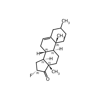 CC1CC[C@@]2(C)C(=CC[C@@H]3[C@@H]2CC[C@]2(C)C(=O)[C@H](F)C[C@@H]32)C1